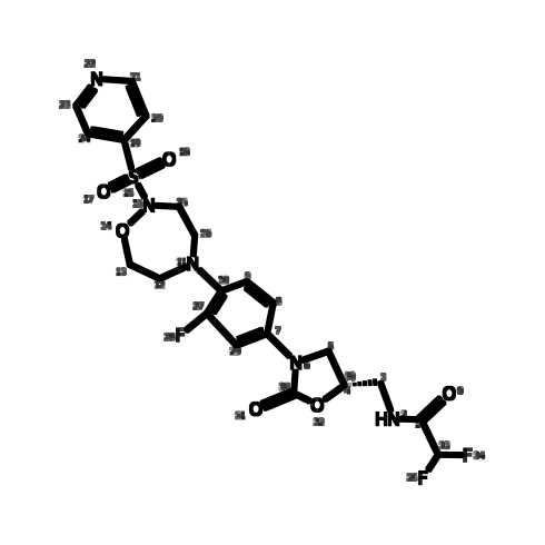 O=C(NC[C@H]1CN(c2ccc(N3CCON(S(=O)(=O)c4ccncc4)CC3)c(F)c2)C(=O)O1)C(F)F